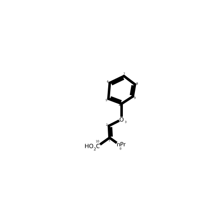 CCC/C(=C\Oc1ccccc1)C(=O)O